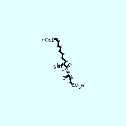 CCCCCCCC/C=C\CCCCCCCC(=O)NOC(=O)CCC(=O)O.[NaH].[NaH]